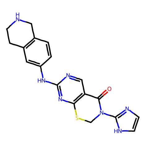 O=C1c2cnc(Nc3ccc4c(c3)CCNC4)nc2SCN1c1ncc[nH]1